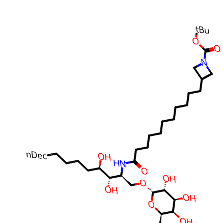 CCCCCCCCCCCCCC[C@@H](O)[C@@H](O)[C@H](CO[C@H]1O[C@H](CO)[C@H](O)[C@H](O)[C@H]1O)NC(=O)CCCCCCCCCCC1CN(C(=O)OC(C)(C)C)C1